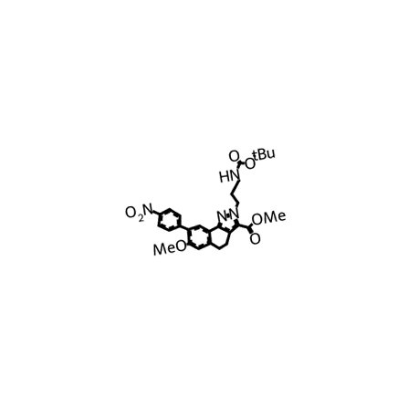 COC(=O)c1c2c(nn1CCCNC(=O)OC(C)(C)C)-c1cc(-c3ccc([N+](=O)[O-])cc3)c(OC)cc1CC2